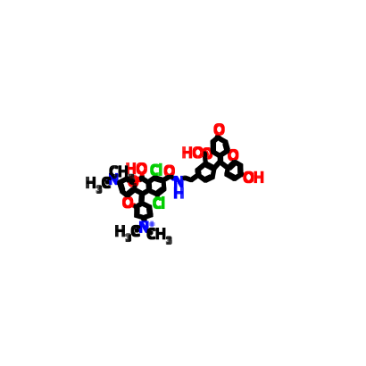 CN(C)c1ccc2c(-c3c(Cl)cc(C(=O)NCCc4ccc(-c5c6ccc(=O)cc-6oc6cc(O)ccc56)c(C(=O)O)c4)c(Cl)c3C(=O)O)c3ccc(=[N+](C)C)cc-3oc2c1